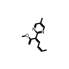 C=C(OC)/C(=C\C=C/C)c1ncc(C)cn1